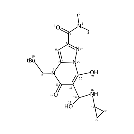 CN(C)C(=O)c1cc2n(CC(C)(C)C)c(=O)c(C(O)NC3CC3)c(O)n2n1